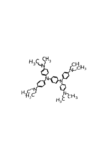 CCN(CC)c1ccc(N(c2ccc(N(CC)CC)cc2)c2ccc(N(c3ccc(N(CC)CC)cc3)c3ccc(N(CC)CC)cc3)cc2)cc1